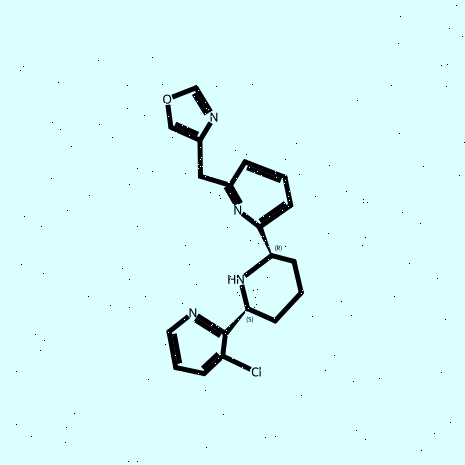 Clc1cccnc1[C@@H]1CCC[C@H](c2cccc(Cc3cocn3)n2)N1